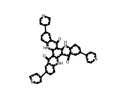 O=c1c2cc(-c3ccncc3)ccc2[nH]c2c1c1[nH]c3ccc(-c4ccncc4)cc3c(=O)c1c1[nH]c3ccc(-c4ccncc4)cc3c(=O)c21